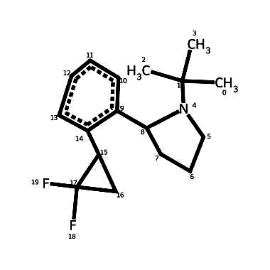 CC(C)(C)N1CCCC1c1ccccc1C1CC1(F)F